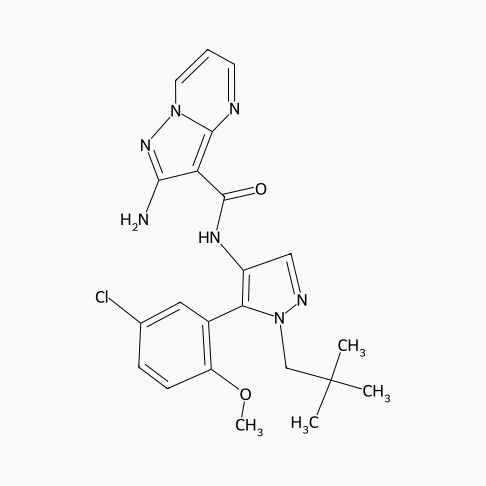 COc1ccc(Cl)cc1-c1c(NC(=O)c2c(N)nn3cccnc23)cnn1CC(C)(C)C